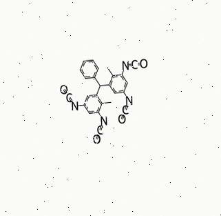 Cc1c(N=C=O)cc(N=C=O)cc1C(c1ccccc1)c1cc(N=C=O)cc(N=C=O)c1C